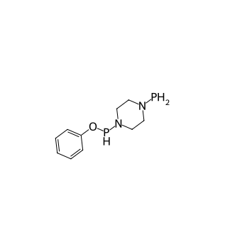 PN1CCN(POc2ccccc2)CC1